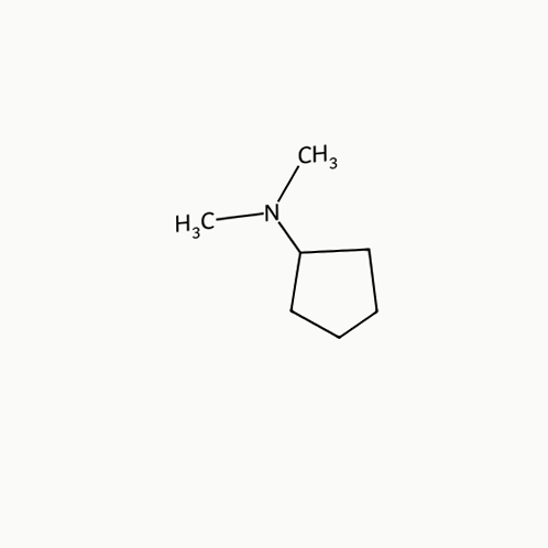 CN(C)C1CCCC1